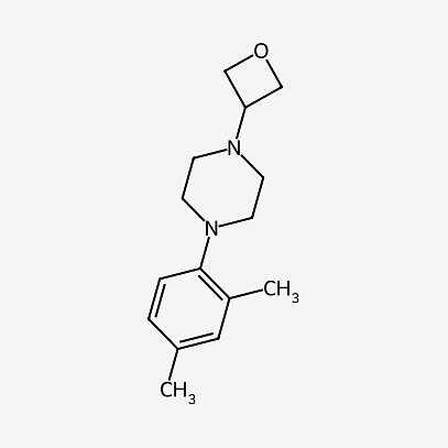 Cc1ccc(N2CCN(C3COC3)CC2)c(C)c1